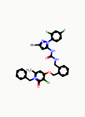 Cc1cc(OCc2ccccc2CNC(=O)Nc2cc(C(C)(C)C)nn2-c2ccc(F)cc2F)c(Br)c(=O)n1Cc1ccccc1